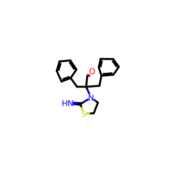 N=C1SCCN1C(C=O)(Cc1ccccc1)Cc1ccccc1